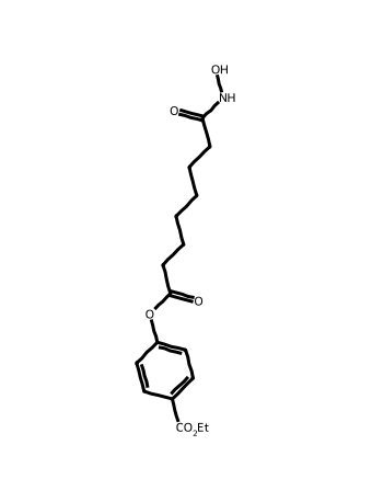 CCOC(=O)c1ccc(OC(=O)CCCCCCC(=O)NO)cc1